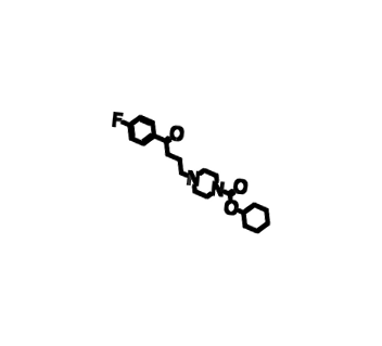 O=C(CCCN1CCN(C(=O)OC2CCCCC2)CC1)c1ccc(F)cc1